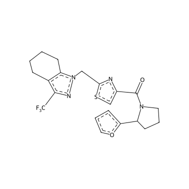 O=C(c1csc(Cn2nc(C(F)(F)F)c3c2CCCC3)n1)N1CCCC1c1ccco1